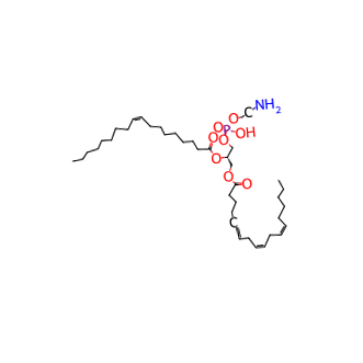 CCCCC/C=C\C/C=C\C/C=C\CCCCC(=O)OC[C@H](COP(=O)(O)OCCN)OC(=O)CCCCCCC/C=C\CCCCCCCC